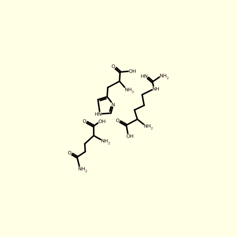 N=C(N)NCCCC(N)C(=O)O.NC(=O)CCC(N)C(=O)O.NC(Cc1c[nH]cn1)C(=O)O